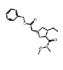 CCC1CN(CC(=O)OCc2ccccc2)CC1C(=O)N(C)OC